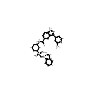 Cc1cc(-c2n[nH]c3ccc(C(=O)NC4CCCC(S(=O)(=O)Cn5ncc6ccccc65)C4)cc23)ccn1